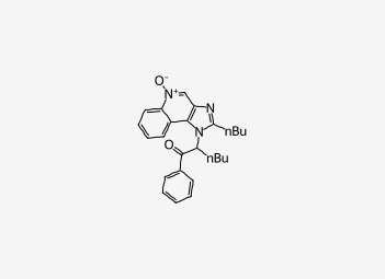 CCCCc1nc2c[n+]([O-])c3ccccc3c2n1C(CCCC)C(=O)c1ccccc1